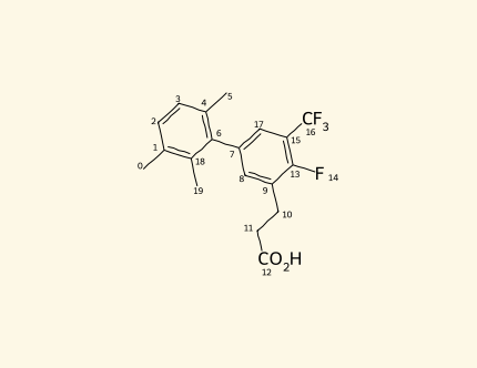 Cc1ccc(C)c(-c2cc(CCC(=O)O)c(F)c(C(F)(F)F)c2)c1C